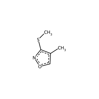 CSc1nocc1C